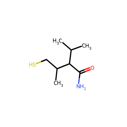 CC(C)C(C(N)=O)C(C)CS